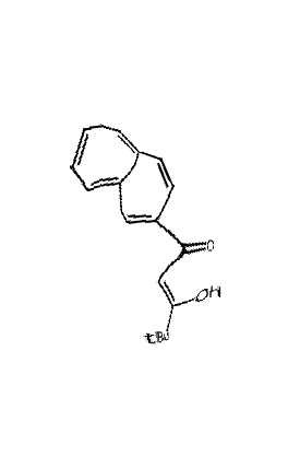 CC(C)(C)/C(O)=C/C(=O)c1ccc2ccccc2c1